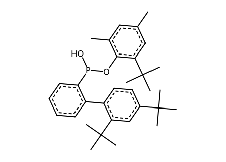 Cc1cc(C)c(OP(O)c2ccccc2-c2ccc(C(C)(C)C)cc2C(C)(C)C)c(C(C)(C)C)c1